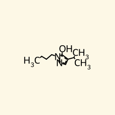 CCCCn1ncc(C(C)C)c1O